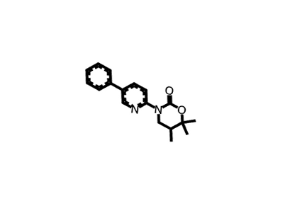 CC1CN(c2ccc(-c3ccccc3)cn2)C(=O)OC1(C)C